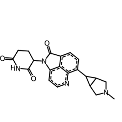 CN1CC2C(C1)C2c1ccc2c3c(ccnc13)N(C1CCC(=O)NC1=O)C2=O